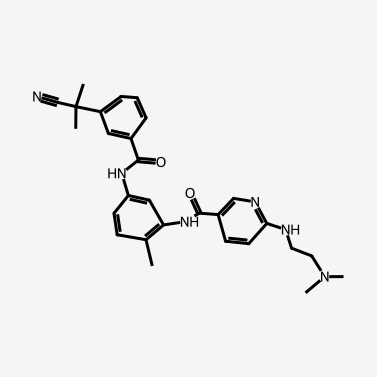 Cc1ccc(NC(=O)c2cccc(C(C)(C)C#N)c2)cc1NC(=O)c1ccc(NCCN(C)C)nc1